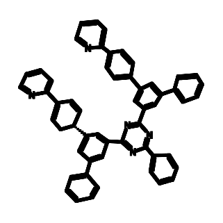 C1=C[C@H](c2cc(-c3ccccc3)cc(-c3nc(-c4ccccc4)nc(-c4cc(-c5ccccc5)cc(-c5ccc(-c6ccccn6)cc5)c4)n3)c2)CC=C1c1ccccn1